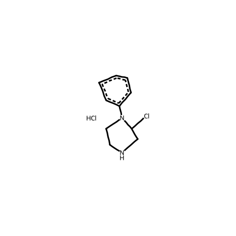 Cl.ClC1CNCCN1c1ccccc1